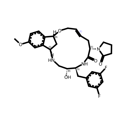 COc1ccc2c(c1)[C@@H]1C[C@H]2OC/C=C/C[C@H](N2CCCC2=O)C(=O)N[C@@H](Cc2cc(F)cc(F)c2)[C@H](O)CN1